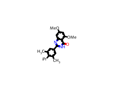 COc1cc(OC)c2c(=O)[nH]c(-c3cc(C)c(C(C)C)c(C)c3)nc2c1